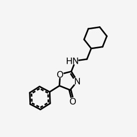 O=C1N=C(NCC2CCCCC2)OC1c1ccccc1